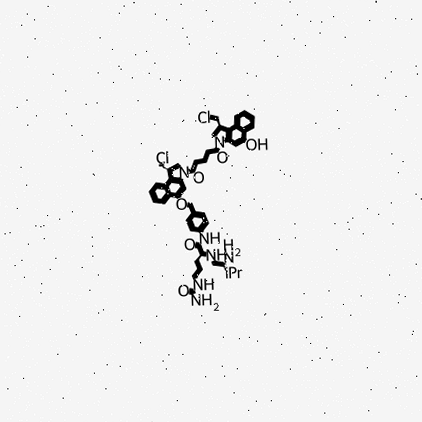 CC(C)[C@@H](N)CN[C@@H](CCCNC(N)=O)C(=O)Nc1ccc(COc2cc3c(c4ccccc24)[C@H](CCl)CN3C(=O)CCCC(=O)N2C[C@@H](CCl)c3c2cc(O)c2ccccc32)cc1